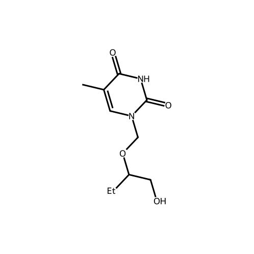 CCC(CO)OCn1cc(C)c(=O)[nH]c1=O